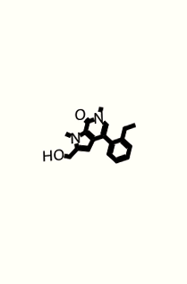 CCc1ccccc1-c1cn(C)c(=O)c2c1cc(CO)n2C